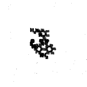 N=S=O.Nc1cccc(N2OC(c3cccc(N)n3)=NC2c2ccccc2)c1